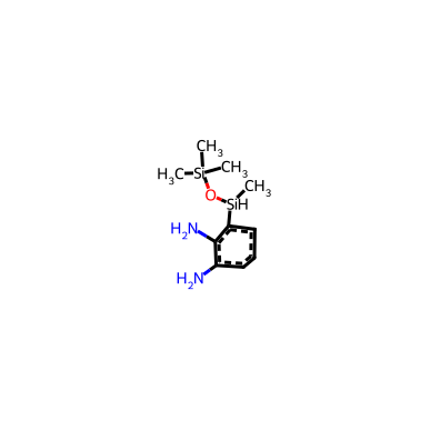 C[SiH](O[Si](C)(C)C)c1cccc(N)c1N